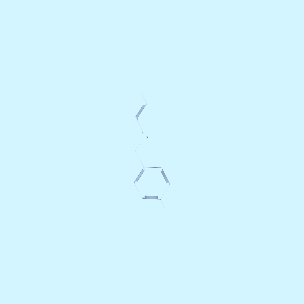 CC/C=C/NCc1ccc(Cl)cc1